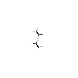 FC(F)=C(F)F.FC(F)=C(F)F.O=C(O)O